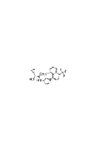 Cc1ccnc2c(C(F)(F)F)ccc(N3CCC(NC(=O)[C@@H](O)C4CC4)C3)c12